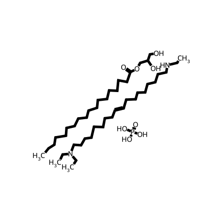 CCCCCCCCCCCCCCCCCC(=O)OCC(O)CO.CCNCCCCCCCCC=CCCCCCCCCN(CC)CC.O=P(O)(O)O